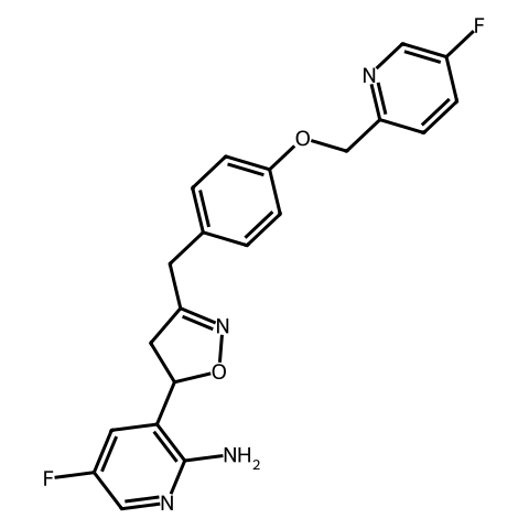 Nc1ncc(F)cc1C1CC(Cc2ccc(OCc3ccc(F)cn3)cc2)=NO1